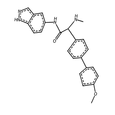 CNC(C(=O)Nc1ccc2[nH]ncc2c1)c1ccc(-c2ccc(OC)cc2)cc1